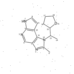 Cc1nc2cnc3[nH]ccc3c2n1C(C)C1CCCO1